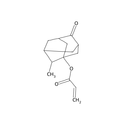 C=CC(=O)OC12CC3CC(CC(C1)C3=O)C2C